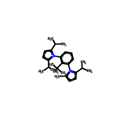 Cc1ccc(C(C)C)n1-c1cccc(-n2c(C(C)C)ccc2C(C)C)c1C(C)(C)C